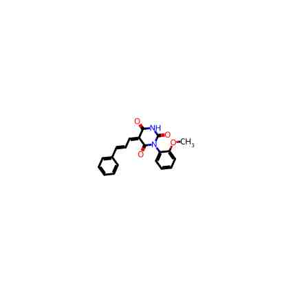 COc1ccccc1N1C(=O)NC(=O)/C(=C/C=C/c2ccccc2)C1=O